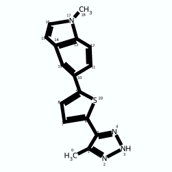 Cc1n[nH]nc1-c1ccc(-c2ccc3c(ccn3C)c2)s1